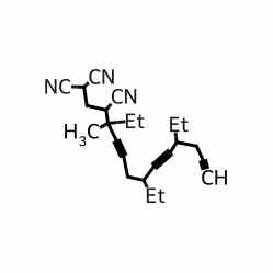 C#CCC(C#CC(CC)CC#CC(C)(CC)C(C#N)CC(C#N)C#N)CC